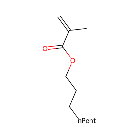 C=C(C)C(=O)OCCCCC[CH]CC